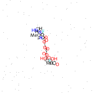 COc1c(N2C[C@H]3CCCN[C@H]3C2)c(F)cc2c(=O)c(C(=O)OCCCOC(=O)C=CC(=O)OCC(=O)[C@@]3(O)[C@H](C)C[C@H]4[C@@H]5CCC6=CC(=O)C=C[C@]6(C)[C@@]5(F)[C@@H](O)C[C@@]43C)cn(C3CC3)c12